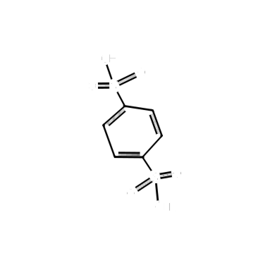 CS(=O)(=O)c1[c]cc(S(C)(=O)=O)cc1